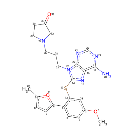 COc1ccc(-c2ccc(C)o2)c(Sc2nc3c(N)ncnc3n2CCCN2CCC(=O)C2)c1